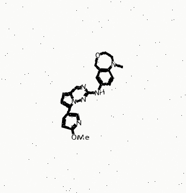 COc1ccc(-c2ccc3cnc(Nc4ccc5c(c4)COCCN5C)nn23)cn1